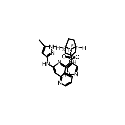 Cc1cc(Nc2cc3ncccc3c(N[C@@H]3C[C@H]4CC[C@@H](C3)N4S(=O)(=O)c3cn[nH]c3)n2)n[nH]1